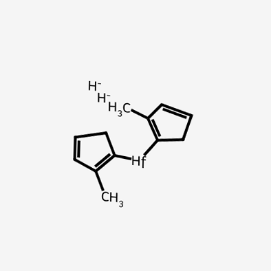 CC1=[C]([Hf][C]2=C(C)C=CC2)CC=C1.[H-].[H-]